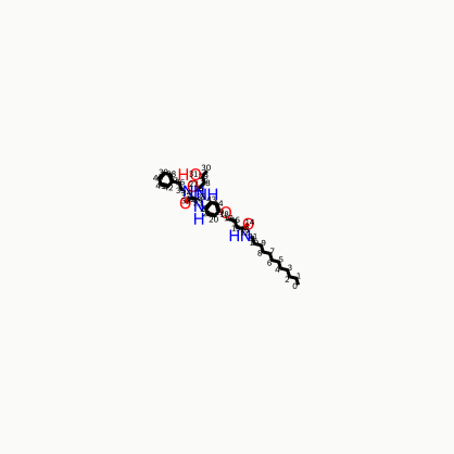 CCCCCCCCCCCCNC(=O)CCCOc1ccc(NC(NC(=O)CC(C)O)C(=O)NCCc2ccccc2)cc1